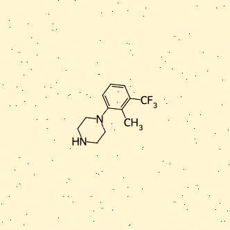 Cc1c(N2CCNCC2)cccc1C(F)(F)F